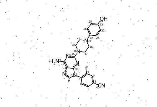 Cc1cc(C#N)ccc1-n1cnc2c(N)nc(N3CCN(c4ccc(O)cc4)CC3)nc21